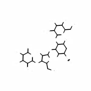 CCC1OC(OC2C(CO)OC(OC3C(O)C([N+]#N)CC(N)C3OC3OC(CO)C(O)C(O)C3N)C2O)C(N)C(O)C1O